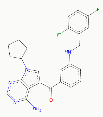 Nc1ncnc2c1c(C(=O)c1cccc(NCc3cc(F)ccc3F)c1)cn2C1CCCC1